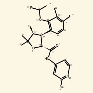 CC(=O)c1cc(NC(=O)[C@@H]2OC(C)(C)[C@@H](C)[C@H]2c2ccc(F)c(C)c2OC(F)F)ccn1